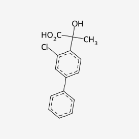 CC(O)(C(=O)O)c1ccc(-c2ccccc2)cc1Cl